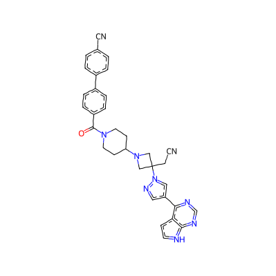 N#CCC1(n2cc(-c3ncnc4[nH]ccc34)cn2)CN(C2CCN(C(=O)c3ccc(-c4ccc(C#N)cc4)cc3)CC2)C1